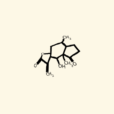 C=C1C(=O)OC2CC(C)C3CCC(=O)C3(C)C(O)C12